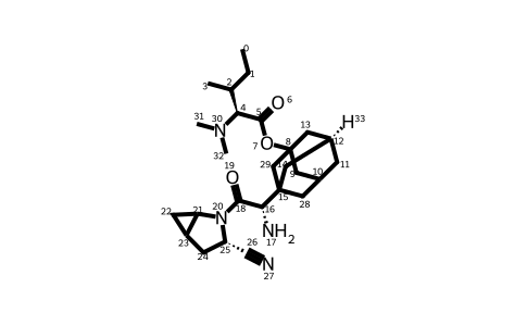 CCC(C)[C@@H](C(=O)OC12CC3C[C@H](C1)CC([C@H](N)C(=O)N1C4CC4C[C@H]1C#N)(C3)C2)N(C)C